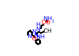 C#CCC(NCCCOC(N)=O)c1nc2cccnc2c(=O)n1Nc1ccccc1